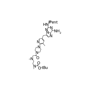 CCC[C@H](C)Nc1nc(N)c2ncc(Cc3cnc(N4CCN(C(=O)CN(C)CCN(C)C(=O)OC(C)(C)C)CC4)c(C)c3)n2n1